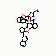 C\C1=C(c2ccc3c(c2)oc2ccccc23)/N=C(c2ccccc2)\N=C(\c2ccccc2-c2cccc3oc4c(-c5ccc6ccccc6c5)cccc4c23)CC1